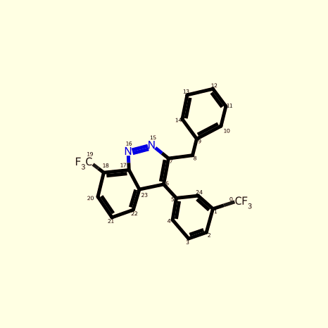 FC(F)(F)c1cccc(-c2c(Cc3ccccc3)nnc3c(C(F)(F)F)cccc23)c1